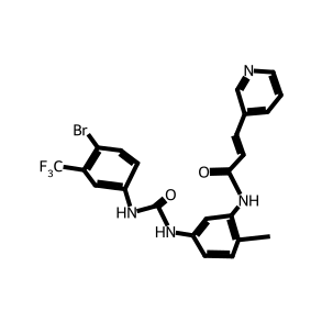 Cc1ccc(NC(=O)Nc2ccc(Br)c(C(F)(F)F)c2)cc1NC(=O)/C=C/c1cccnc1